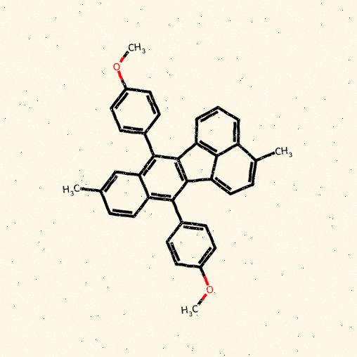 COc1ccc(-c2c3c(c(-c4ccc(OC)cc4)c4cc(C)ccc24)-c2cccc4c(C)ccc-3c24)cc1